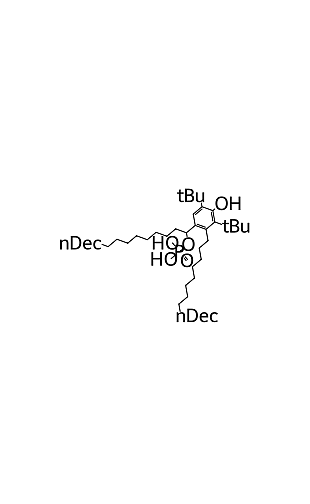 CCCCCCCCCCCCCCCCCCc1c(C(CCCCCCCCCCCCCCCCCC)OP(=O)(O)O)cc(C(C)(C)C)c(O)c1C(C)(C)C